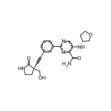 NC(=O)c1nc(-c2cccc(C#C[C@@]3(CO)CCNC3=O)c2)ncc1N[C@@H]1CCOC1